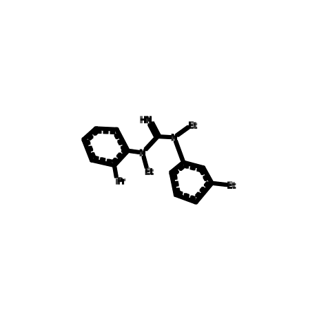 CCc1cccc(N(CC)C(=N)N(CC)c2ccccc2C(C)C)c1